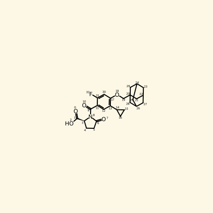 O=C(O)[C@@H]1CCC(=O)N1C(=O)c1cc(C2CC2)c(OCC23CC4CC(CC(C4)C2)C3)cc1F